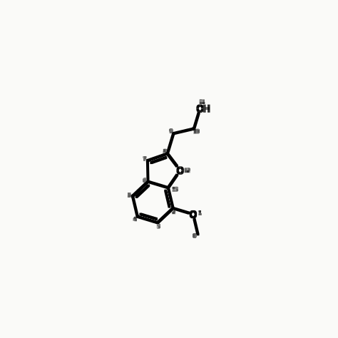 COc1cccc2cc(CCO)oc12